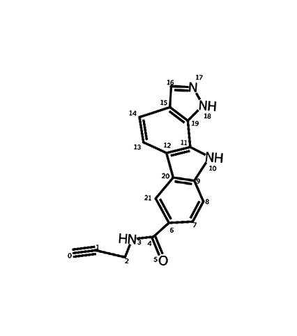 C#CCNC(=O)c1ccc2[nH]c3c(ccc4cn[nH]c43)c2c1